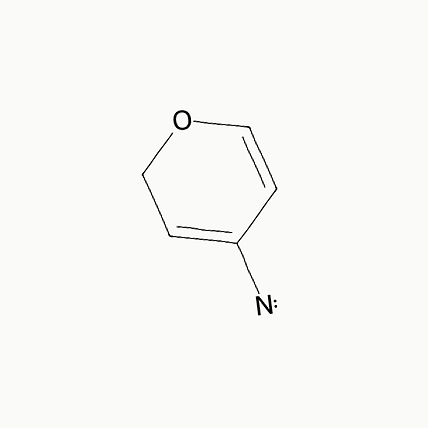 [N]C1=CCOC=C1